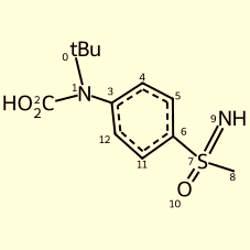 CC(C)(C)N(C(=O)O)c1ccc(S(C)(=N)=O)cc1